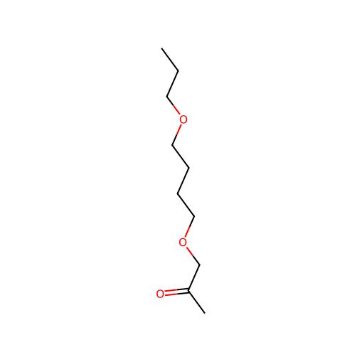 CCCOCCCCOCC(C)=O